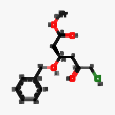 CC(C)OC(=O)C[C@@H](CC(=O)CCl)OCc1ccccc1